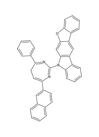 C1=C(c2ccc3ccccc3c2)N=C(n2c3ccccc3c3cc4c(cc32)oc2ccccc24)N=C(c2ccccc2)C1